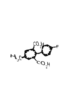 Cc1cc(C(=O)O)c(-c2ccc(F)cc2)c(C(=O)O)c1